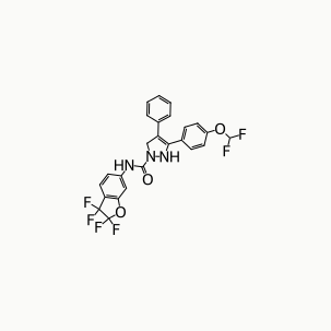 O=C(Nc1ccc2c(c1)OC(F)(F)C2(F)F)N1CC(c2ccccc2)=C(c2ccc(OC(F)F)cc2)N1